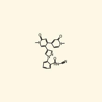 Cn1ccc(-c2cc(=O)n(C)cc2-c2cnn(-c3ccccc3C(=O)NC#N)c2)cc1=O